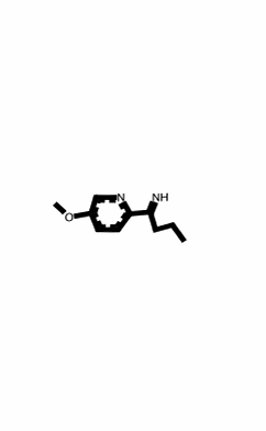 CCCC(=N)c1ccc(OC)cn1